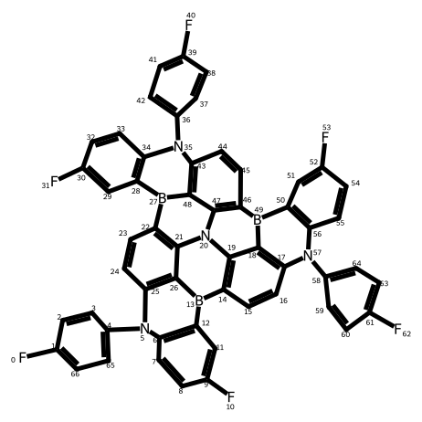 Fc1ccc(N2c3ccc(F)cc3B3c4ccc5c6c4N4c7c(ccc2c73)B2c3cc(F)ccc3N(c3ccc(F)cc3)c3ccc(c4c32)B6c2cc(F)ccc2N5c2ccc(F)cc2)cc1